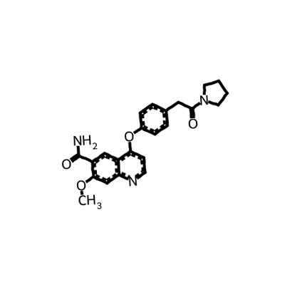 COc1cc2nccc(Oc3ccc(CC(=O)N4CCCC4)cc3)c2cc1C(N)=O